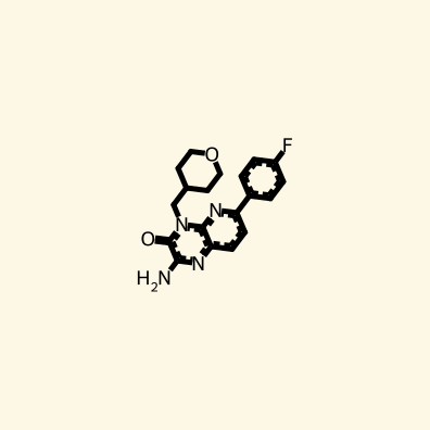 Nc1nc2ccc(-c3ccc(F)cc3)nc2n(CC2CCOCC2)c1=O